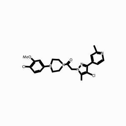 COc1cc(N2CCN(C(=O)Cn3nc(-c4ccnc(C)c4)c(Cl)c3C)CC2)ccc1Cl